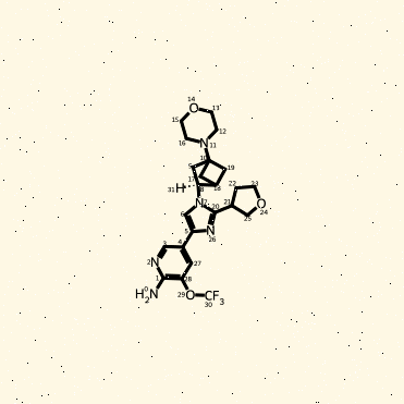 Nc1ncc(-c2cn([C@H]3CC4(N5CCOCC5)CC3C4)c(C3CCOC3)n2)cc1OC(F)(F)F